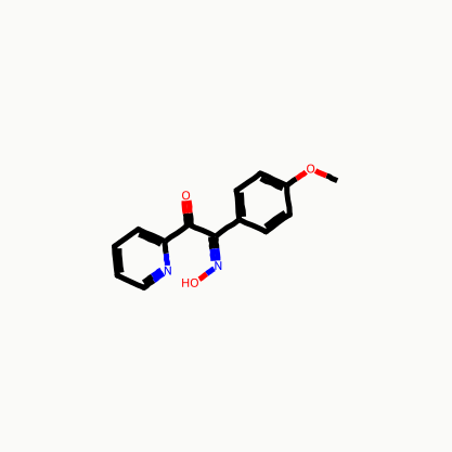 COc1ccc(C(=NO)C(=O)c2ccccn2)cc1